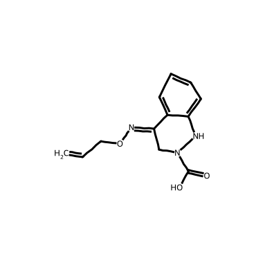 C=CCON=C1CN(C(=O)O)Nc2ccccc21